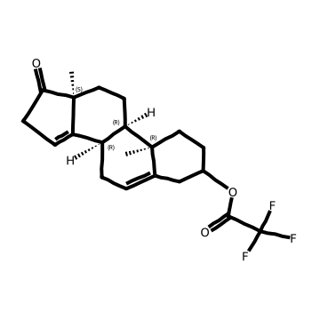 C[C@]12CC[C@@H]3[C@@H](CC=C4CC(OC(=O)C(F)(F)F)CC[C@@]43C)C1=CCC2=O